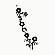 CC(NCC(O)c1ccccc1)C(C)n1ncn(-c2ccc(N3CCN(c4ccc(OCC5COC(Cn6cncn6)(c6ccc(F)cc6F)O5)cc4)CC3)cc2)c1=O